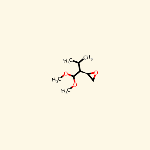 COC(OC)C(C(C)C)[C@@H]1CO1